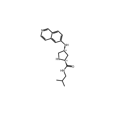 CC(C)CNC(=O)[C@@H]1C[C@H](Nc2ccc3cnccc3c2)CN1